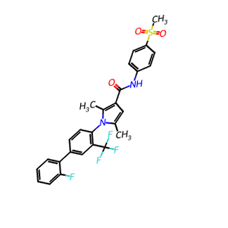 Cc1cc(C(=O)Nc2ccc(S(C)(=O)=O)cc2)c(C)n1-c1ccc(-c2ccccc2F)cc1C(F)(F)F